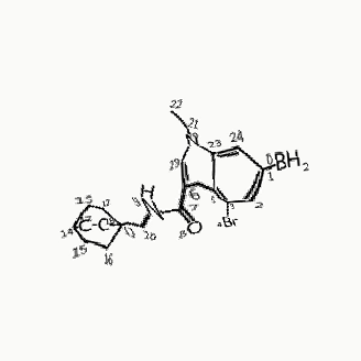 Bc1cc(Br)c2c(C(=O)NCC34CCC(CC3)CC4)cn(CC)c2c1